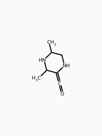 CC1CNC(=C=O)C(C)N1